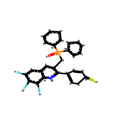 O=P(Cc1cc2cc(F)c(F)c(F)c2nc1C1=CCC(=S)C=C1)(c1ccccc1)c1ccccc1